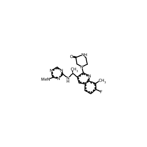 CNc1ncnc(N[C@@H](C)c2cc3ccc(F)c(C)c3nc2N2CCNC(=O)C2)n1